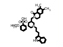 Cc1cc2c(cc1C)C(=O)N(CC1CCCN(CCCc3c[nH]c4ccccc34)C1)CC2.O.O.O=S(=O)(O)c1ccccc1